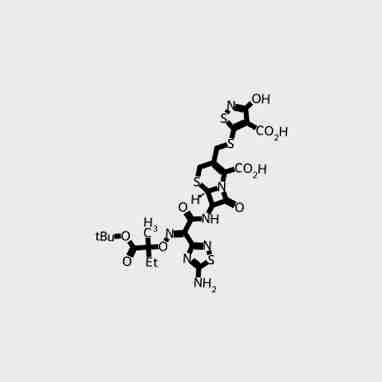 CCC(C)(O/N=C(/C(=O)NC1C(=O)N2C(C(=O)O)=C(CSc3snc(O)c3C(=O)O)CS[C@H]12)c1nsc(N)n1)C(=O)OC(C)(C)C